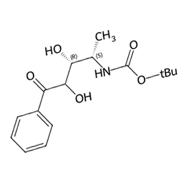 C[C@H](NC(=O)OC(C)(C)C)[C@@H](O)C(O)C(=O)c1ccccc1